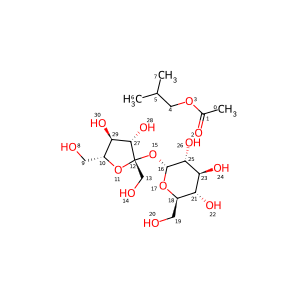 CC(=O)OCC(C)C.OC[C@H]1O[C@@](CO)(O[C@H]2O[C@H](CO)[C@@H](O)[C@H](O)[C@H]2O)[C@@H](O)[C@@H]1O